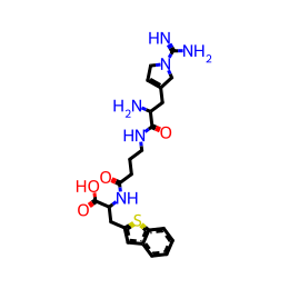 N=C(N)N1CC=C(CC(N)C(=O)NCCCC(=O)NC(Cc2cc3ccccc3s2)C(=O)O)C1